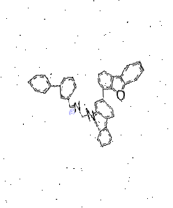 C(=N\Cn1c2ccccc2c2ccc(-c3cccc4c3oc3ccccc34)cc21)/c1cccc(-c2ccccc2)c1